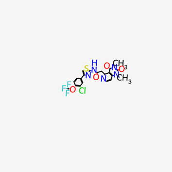 Cn1c(=O)c2c(CC(=O)Nc3nc(-c4ccc(OC(F)(F)F)c(Cl)c4)cs3)nccc2n(C)c1=O